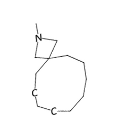 CN1CC2(CCCCCCCCC2)C1